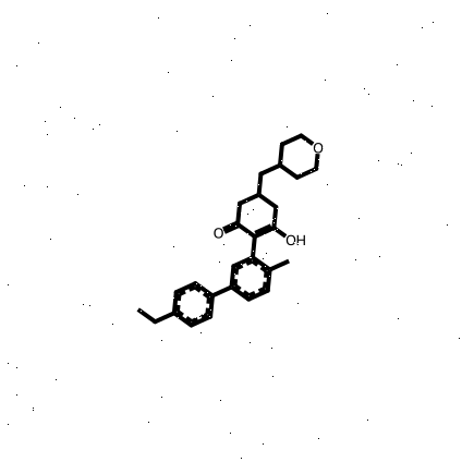 CCc1ccc(-c2ccc(C)c(C3=C(O)CC(CC4CCOCC4)CC3=O)c2)cc1